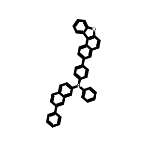 c1ccc(-c2ccc3ccc(N(c4ccccc4)c4ccc(-c5ccc6c(ccc7oc8ccccc8c76)c5)cc4)cc3c2)cc1